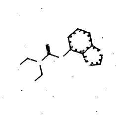 CCN(CC)C(=O)Sc1cccc2ocnc12